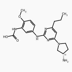 CCCc1cc(N2CC[C@H](N)C2)nc(Nc2ccc(OC)c(NC(=O)O)c2)n1